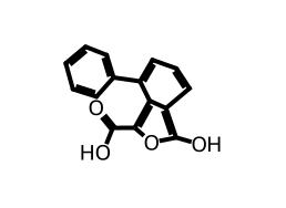 O=C(O)c1oc(O)c2cccc(-c3ccccc3)c12